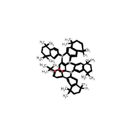 Cc1cc2c3c(c1)N(c1cc4c(cc1-c1ccc(C(C)(C)C)cc1)C(C)(C)CCC4(C)C)c1cc4c(cc1B3c1cc3c(cc1N2C1=CC2C(C=C1)C(C)(C)CCC2(C)C)C(C)(C)CCC3(C)C)C(C)(C)CCC4(C)C